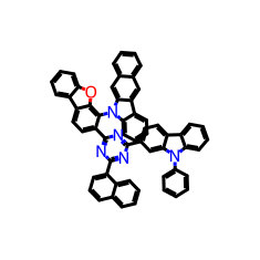 c1ccc(-n2c3ccccc3c3ccc(-c4nc(-c5ccc6c(oc7ccccc76)c5-n5c6ccccc6c6cc7ccccc7cc65)nc(-c5cccc6ccccc56)n4)cc32)cc1